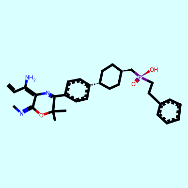 C=C/C(N)=C1/N=C(c2ccc([C@H]3CC[C@H](C[P@](=O)(O)CCc4ccccc4)CC3)cc2)C(C)(C)O/C1=N/C